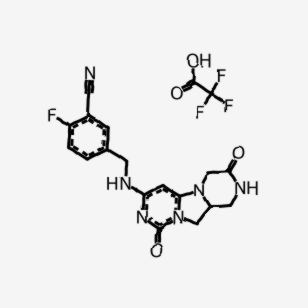 N#Cc1cc(CNc2cc3n(c(=O)n2)CC2CNC(=O)CN32)ccc1F.O=C(O)C(F)(F)F